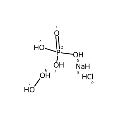 Cl.O=P(O)(O)O.OO.[NaH]